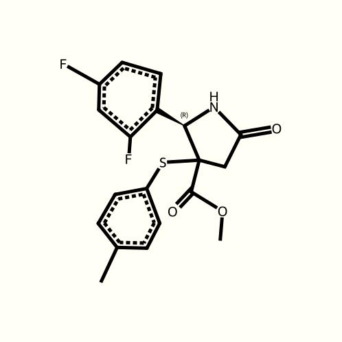 COC(=O)C1(Sc2ccc(C)cc2)CC(=O)N[C@@H]1c1ccc(F)cc1F